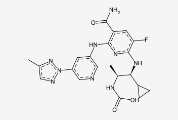 Cc1cnn(-c2cncc(Nc3nc(N[C@@H](C4CC4)[C@H](C)NC(=O)O)c(F)cc3C(N)=O)c2)n1